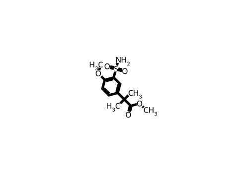 COC(=O)C(C)(C)c1ccc(OC)c(S(N)(=O)=O)c1